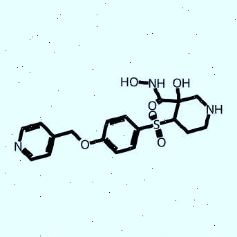 O=C(NO)C1(O)CNCCC1S(=O)(=O)c1ccc(OCc2ccncc2)cc1